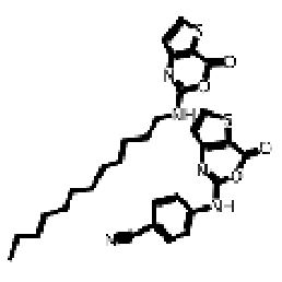 CCCCCCCCCCCCNc1nc2ccsc2c(=O)o1.N#Cc1ccc(Nc2nc3ccsc3c(=O)o2)cc1